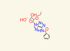 CCCO[C@@H]1[C@H](O)[C@@H](CO)O[C@H]1n1cnc2c(NC(=O)c3ccccc3)ncnc21